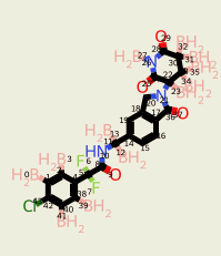 Bc1c(B)c(C(F)(F)C(=O)NC(B)(B)c2ccc3c(c2)CN(C2(B)C(=O)N(B)C(=O)C(B)(B)C2(B)B)C3=O)c(B)c(B)c1Cl